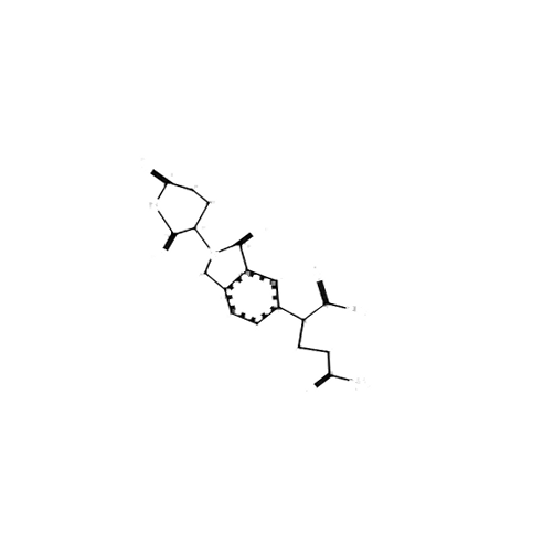 NC(=O)CCC(C(N)=O)c1ccc2c(c1)C(=O)N(C1CCC(=O)NC1=O)C2